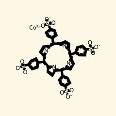 O=S(=O)([O-])c1ccc(-c2c3nc(c(-c4ccc(S(=O)(=O)[O-])cc4)c4ccc([n-]4)c(-c4ccc(S(=O)(=O)[O-])cc4)c4ccc([n-]4)c(-c4ccc(S(=O)(=O)[O-])cc4)c4nc2C=C4)C=C3)cc1.[Co+3]